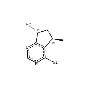 CCc1ncnc2c1[C@H](C)C[C@H]2O